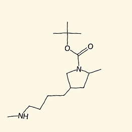 CNCCCCC1CC(C)N(C(=O)OC(C)(C)C)C1